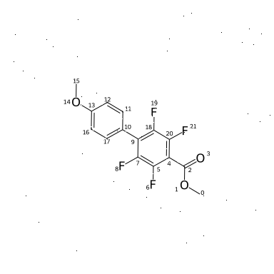 COC(=O)c1c(F)c(F)c(-c2ccc(OC)cc2)c(F)c1F